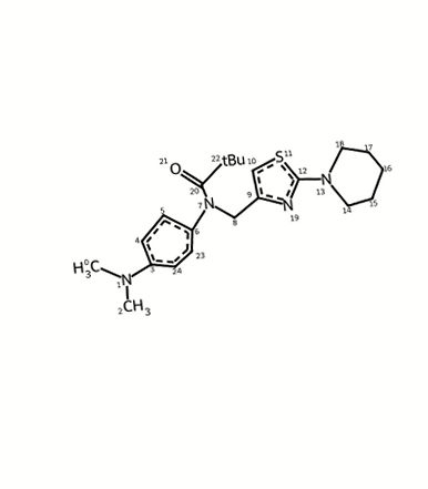 CN(C)c1ccc(N(Cc2csc(N3CCCCC3)n2)C(=O)C(C)(C)C)cc1